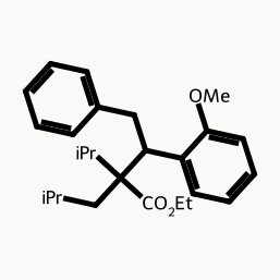 CCOC(=O)C(CC(C)C)(C(C)C)C(Cc1ccccc1)c1ccccc1OC